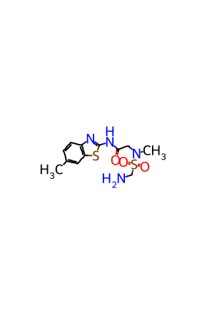 Cc1ccc2nc(NC(=O)CN(C)S(=O)(=O)CN)sc2c1